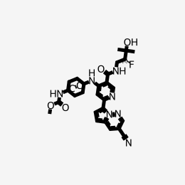 COC(=O)NC12CCC(Nc3cc(-c4ccc5cc(C#N)cnn45)ncc3C(=O)NC[C@@H](F)C(C)(C)O)(CC1)CC2